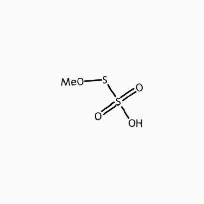 COSS(=O)(=O)O